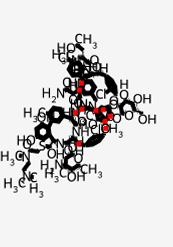 CN[C@H](CC(C)O)C(=O)N[C@H]1C(=O)N[C@@H](CC(N)=O)C(=O)N[C@H]2C(=O)N[C@H]3C(=O)N[C@H](C(=O)N[C@@H](C(=O)SCC(=O)N(C)CCN(C)C)c4cc(O)cc(O)c4-c4cc3ccc4C)[C@H](O[C@H]3C[C@](C)(N)[C@@H](O)[C@H](C)O3)c3ccc(c(Cl)c3)Oc3cc2cc(c3O[C@@H]2O[C@H](CO)[C@@H](O)[C@H](O)[C@H]2O[C@H]2C[C@](C)(NCc3ccc(-c4ccc(Cl)cc4)cc3)[C@@H](O)[C@H](C)O2)Oc2ccc(cc2Cl)[C@H]1O